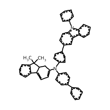 CC1(C)c2ccccc2C2=CC=C(N(c3ccc(-c4ccccc4)cc3)c3ccc(-c4ccc5c(c4)c4ccccc4n5-c4ccccc4)cc3)CC21